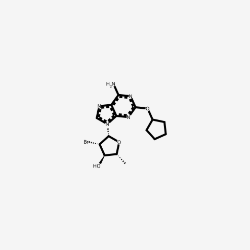 C[C@H]1O[C@@H](n2cnc3c(N)nc(OC4CCCC4)nc32)[C@@H](Br)[C@@H]1O